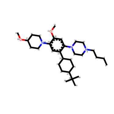 CCCCN1CCN(c2cc(OC)c(N3CCC(OC)CC3)cc2C2CCC(C(C)(C)C)CC2)CC1